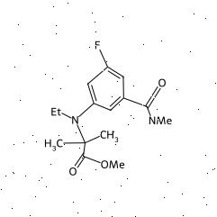 CCN(c1cc(F)cc(C(=O)NC)c1)C(C)(C)C(=O)OC